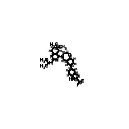 CN(C)Cc1nc2c(c(N3CCOc4ccc(-c5ccc6[nH]c(C(F)F)nc6c5)cc4C3)n1)CC(C)(C)CC2